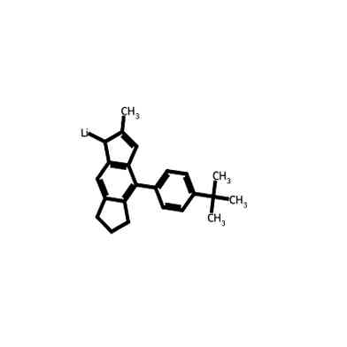 [Li][CH]1C(C)=Cc2c1cc1c(c2-c2ccc(C(C)(C)C)cc2)CCC1